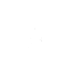 CCOC(=O)CNC1CCCc2ccccc21.Cl